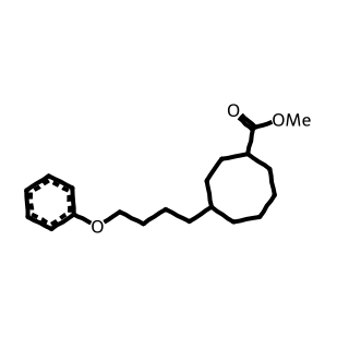 COC(=O)C1CCCCC(CCCCOc2ccccc2)CC1